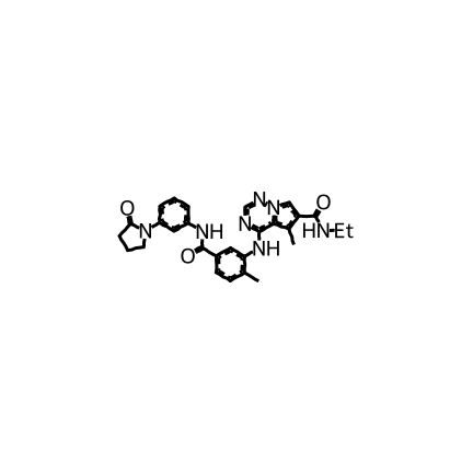 CCNC(=O)c1cn2ncnc(Nc3cc(C(=O)Nc4cccc(N5CCCC5=O)c4)ccc3C)c2c1C